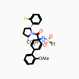 CCS(=O)(=O)NC1(C(=O)N2[C@@H](c3ccccc3F)CC[C@H]2C(=O)O)C=CC(c2ccccc2OC)C=C1